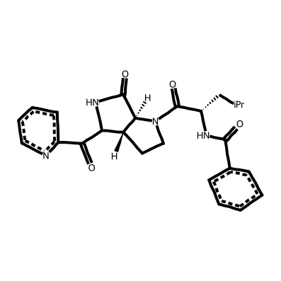 CC(C)C[C@H](NC(=O)c1ccccc1)C(=O)N1CC[C@@H]2C(C(=O)c3ccccn3)NC(=O)[C@H]21